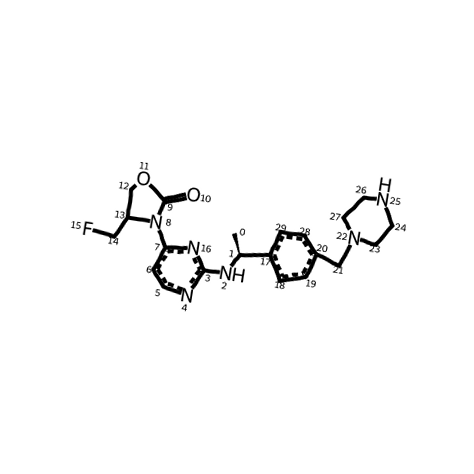 C[C@H](Nc1nccc(N2C(=O)OCC2CF)n1)c1ccc(CN2CCNCC2)cc1